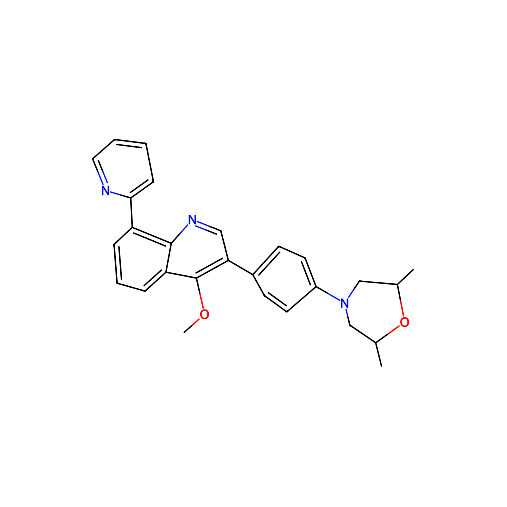 COc1c(-c2ccc(N3CC(C)OC(C)C3)cc2)cnc2c(-c3ccccn3)cccc12